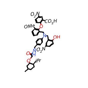 COc1cccc(CN(Cc2cc([N+](=O)[O-])ccc2O)c2ccc(CNC(=O)COC3CC(C)CCC3C(C)C)cc2)c1Oc1ccc([N+](=O)[O-])cc1C(=O)O